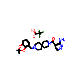 CC1(C)Oc2cccc(CN3CCC4(CC3)CCN(C(=O)c3ccnnc3N)CC4)c2O1.O=C(O)C(F)(F)F